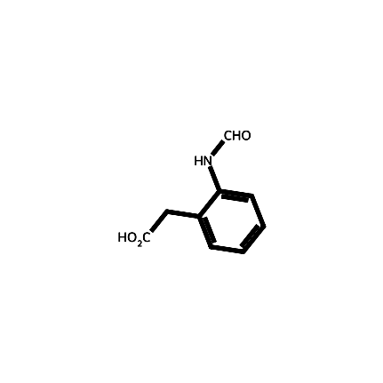 O=CNc1ccccc1CC(=O)O